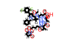 CC(=O)N(CCC(NC(=O)C(C)NC(=O)C(NC(=O)CCCC(=O)ON1C(=O)CCC1=O)C(C)C)C(=O)O)C(c1cc(-c2cc(F)ccc2F)cn1Cc1ccccc1)C(C)(C)C